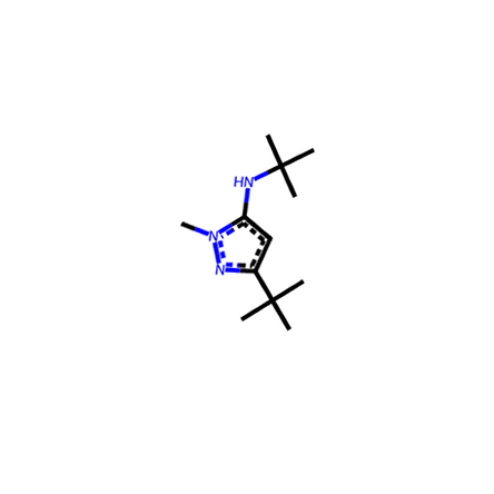 Cn1nc(C(C)(C)C)cc1NC(C)(C)C